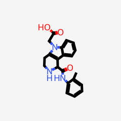 Cc1ccccc1NC(=O)C1NCCc2c1c1ccccc1n2CC(=O)O